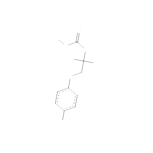 CC(C)(COc1ccc([N+](=O)[O-])cc1)NC(=O)OC(C)(C)C